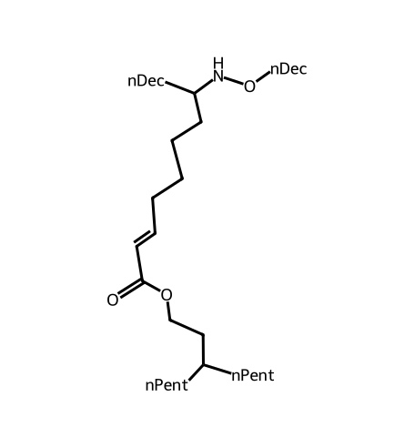 CCCCCCCCCCONC(CCCCC=CC(=O)OCCC(CCCCC)CCCCC)CCCCCCCCCC